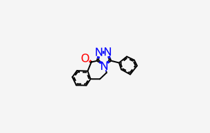 O=C1c2ccccc2CCn2c1nnc2-c1ccccc1